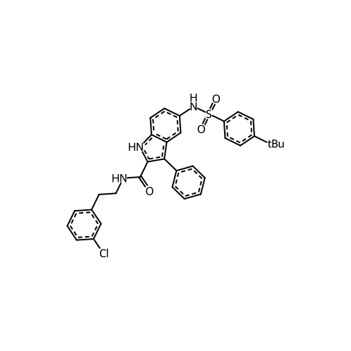 CC(C)(C)c1ccc(S(=O)(=O)Nc2ccc3[nH]c(C(=O)NCCc4cccc(Cl)c4)c(-c4ccccc4)c3c2)cc1